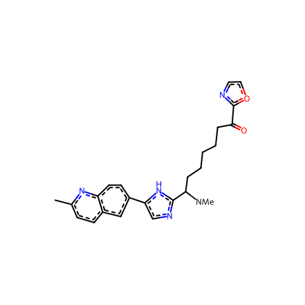 CNC(CCCCCC(=O)c1ncco1)c1ncc(-c2ccc3nc(C)ccc3c2)[nH]1